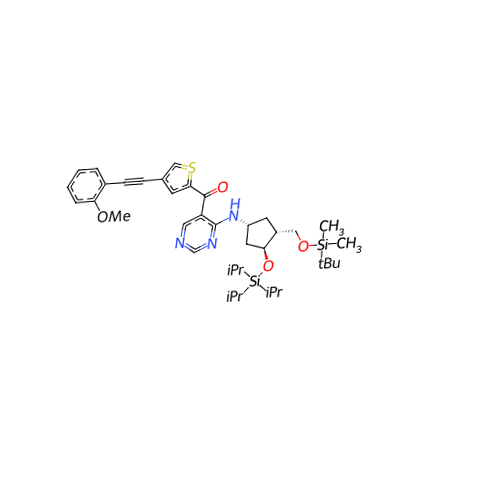 COc1ccccc1C#Cc1csc(C(=O)c2cncnc2N[C@@H]2C[C@H](CO[Si](C)(C)C(C)(C)C)[C@@H](O[Si](C(C)C)(C(C)C)C(C)C)C2)c1